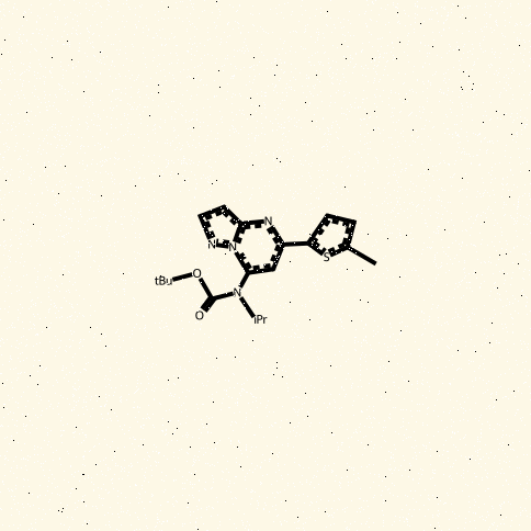 Cc1ccc(-c2cc(N(C(=O)OC(C)(C)C)C(C)C)n3nccc3n2)s1